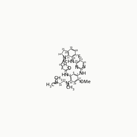 C=CC(=O)Nc1cc(Nc2ncc(F)c(Nc3cccc4c3N(C(C)=O)CC4)n2)c(OC)cc1N(C)CCN(C)C